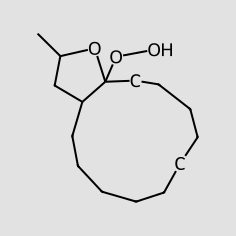 CC1CC2CCCCCCCCCCC2(OO)O1